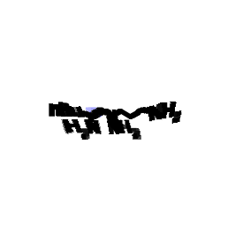 CCCC/C(N)=C/N(N)CCCN